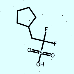 O=S(=O)(O)C(F)(F)CC1CCCC1